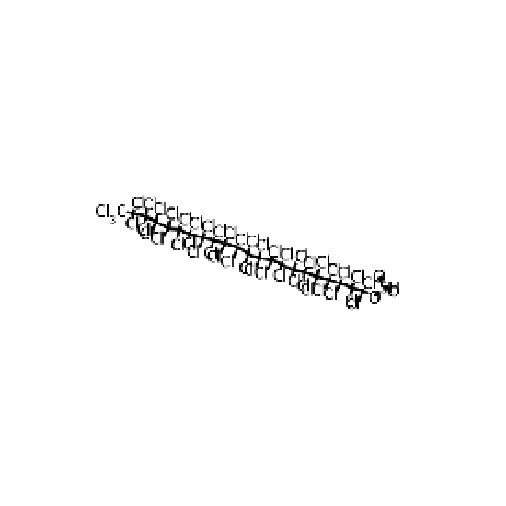 O=[SH](=O)OC(Cl)(Cl)C(Cl)(Cl)C(Cl)(Cl)C(Cl)(Cl)C(Cl)(Cl)C(Cl)(Cl)C(Cl)(Cl)C(Cl)(Cl)C(Cl)(Cl)C(Cl)(Cl)C(Cl)(Cl)C(Cl)(Cl)C(Cl)(Cl)C(Cl)(Cl)C(Cl)(Cl)C(Cl)(Cl)C(Cl)(Cl)C(Cl)(Cl)C(Cl)(Cl)C(Cl)(Cl)C(Cl)(Cl)C(Cl)(Cl)Cl